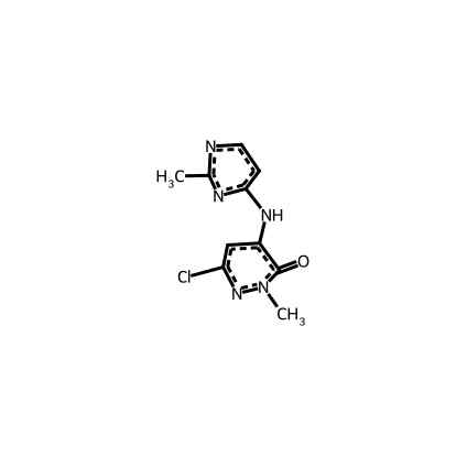 Cc1nccc(Nc2cc(Cl)nn(C)c2=O)n1